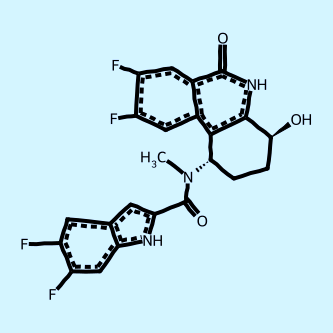 CN(C(=O)c1cc2cc(F)c(F)cc2[nH]1)[C@H]1CC[C@H](O)c2[nH]c(=O)c3cc(F)c(F)cc3c21